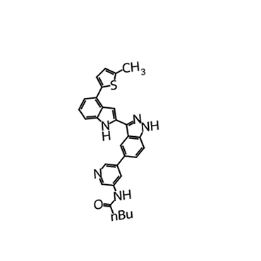 CCCCC(=O)Nc1cncc(-c2ccc3[nH]nc(-c4cc5c(-c6ccc(C)s6)cccc5[nH]4)c3c2)c1